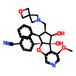 COc1cncc2c1[C@]1(O)[C@H](O)[C@H](CN3CC4(COC4)C3)[C@H](c3ccccc3)[C@]1(c1ccc(C#N)cc1)O2